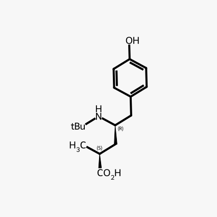 C[C@@H](C[C@H](Cc1ccc(O)cc1)NC(C)(C)C)C(=O)O